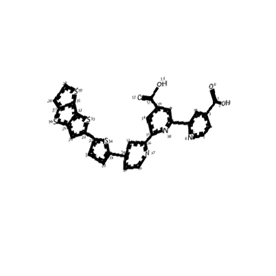 O=C(O)c1ccnc(-c2cc(C(=O)O)cc(-c3cc(-c4ccc(-c5cc6sc7ccsc7c6s5)s4)ccn3)n2)c1